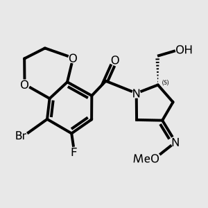 CON=C1C[C@@H](CO)N(C(=O)c2cc(F)c(Br)c3c2OCCO3)C1